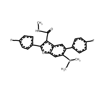 CNC(=O)c1c(-c2ccc(F)cc2)oc2cc(N(C)C)c(-c3ccc(F)cc3)cc12